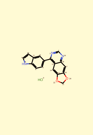 Cl.c1nc(-c2ccc3[nH]ccc3c2)c2cc3c(cc2n1)OCO3